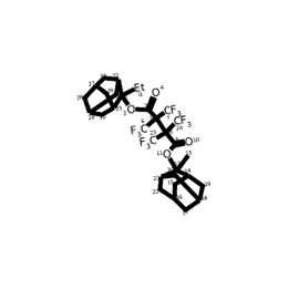 CCC1(OC(=O)C(C(F)(F)F)(C(F)(F)F)C(C(=O)OC2(C)C3CC4CC(C3)CC2C4)(C(F)(F)F)C(F)(F)F)C2CC3CC(C2)CC1C3